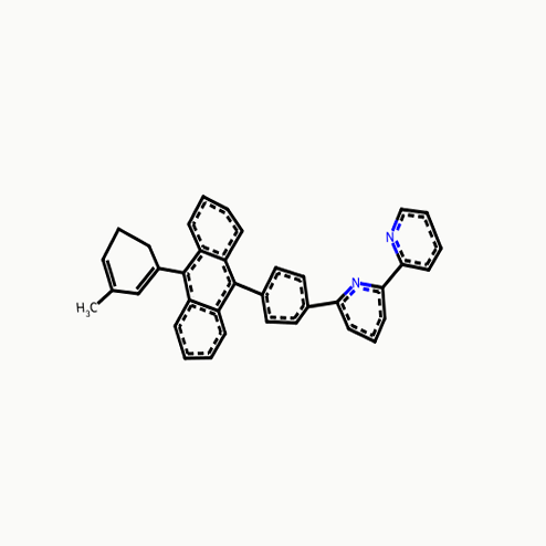 CC1=CCCC(c2c3ccccc3c(-c3ccc(-c4cccc(-c5ccccn5)n4)cc3)c3ccccc23)=C1